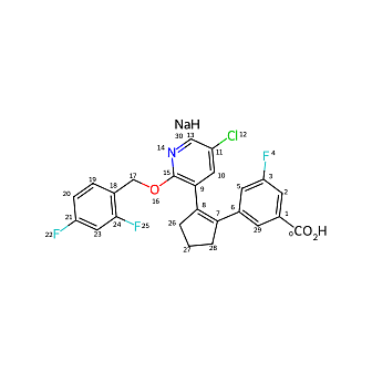 O=C(O)c1cc(F)cc(C2=C(c3cc(Cl)cnc3OCc3ccc(F)cc3F)CCC2)c1.[NaH]